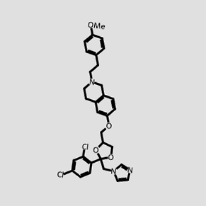 COc1ccc(CCN2CCc3cc(OCC4COC(Cn5ccnc5)(c5ccc(Cl)cc5Cl)O4)ccc3C2)cc1